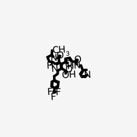 CCC1CC[C@H]2c3nc(CCc4ccc(C(F)(F)F)cc4)c(C(=O)O)c(-c4ccc(C(=O)NCc5cccnc5)o4)c3C(=O)N12